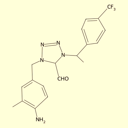 Cc1cc(CN2N=NN(C(C)c3ccc(C(F)(F)F)cc3)C2C=O)ccc1N